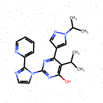 CC(C)c1c(O)nc(-n2ccnc2-c2ccccn2)nc1-c1cnn(C(C)C)c1